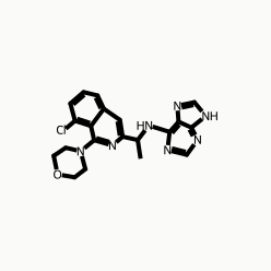 CC(Nc1ncnc2[nH]cnc12)c1cc2cccc(Cl)c2c(N2CCOCC2)n1